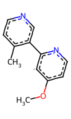 COc1[c]c(-c2cnccc2C)ncc1